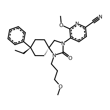 CC[C@]1(c2ccccc2)CC[C@]2(CC1)CN(c1ccc(C#N)nc1OC)C(=O)N2CCCOC